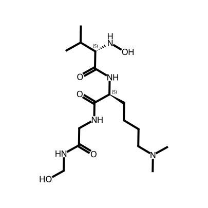 CC(C)[C@H](NO)C(=O)N[C@@H](CCCCN(C)C)C(=O)NCC(=O)NCO